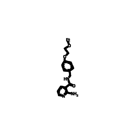 CCOCCOc1ccc(CNC(=O)c2cccnc2N)cc1